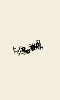 Cc1cccc(C(=O)N2CCC[C@H](CNc3nc(-c4c[nH]c5ncc(Cl)cc45)ncc3F)C2)c1C